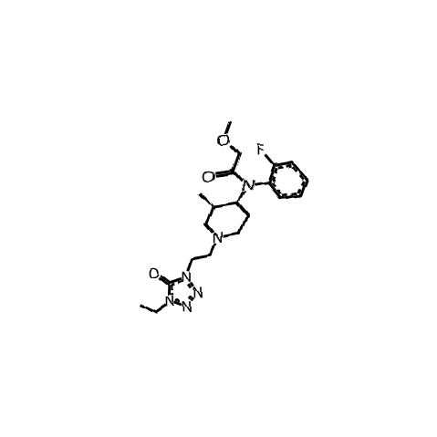 CCn1nnn(CCN2CC[C@H](N(C(=O)COC)c3ccccc3F)[C@H](C)C2)c1=O